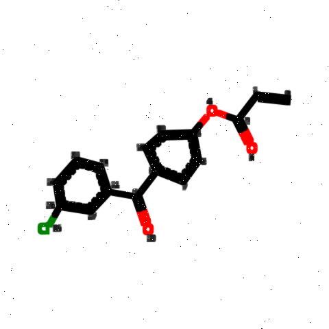 C=CC(=O)Oc1ccc(C(=O)c2cccc(Cl)c2)cc1